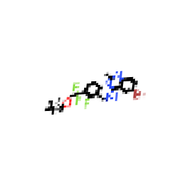 Cc1nc(N[C@H](C)c2cccc(C(F)(F)CO[Si](C)(C)C(C)(C)C)c2F)c2cc(Br)ccc2n1